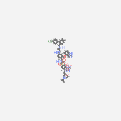 CC1(C)CCC(CNCCNc2ccc(C(=O)NS(=O)(=O)c3ccc(NCC4CN(C5CC5)CCO4)c([N+](C)([O-])O)c3)c(Oc3cccc4[nH]ncc34)c2)=C(c2ccc(Cl)cc2)C1